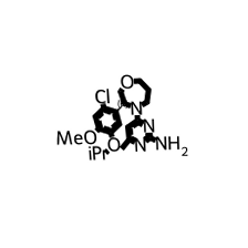 COc1cc(Cl)c([C@@H]2COCCCN2c2cc(C)nc(N)n2)cc1OC(C)C